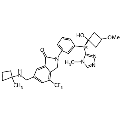 COC1CC(O)([C@H](c2cccc(N3Cc4c(cc(CNC5(C)CCC5)cc4C(F)(F)F)C3=O)c2)c2nncn2C)C1